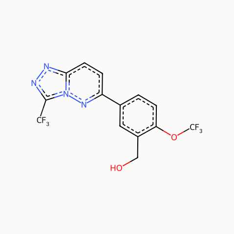 OCc1cc(-c2ccc3nnc(C(F)(F)F)n3n2)ccc1OC(F)(F)F